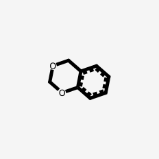 c1ccc2c(c1)COCO2